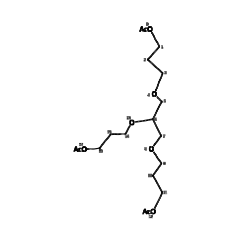 CC(=O)OCCCOCC(COCCCOC(C)=O)OCCCOC(C)=O